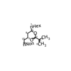 C=C(C)C(=O)OC(CCCCCC)CCCCCCCCCCCC